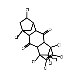 O=C1C2C3CC(Cl)(CC3Cl)C2C(=O)C2C1C1(Cl)C(Cl)=C(Cl)C2(Cl)C1(Cl)Cl